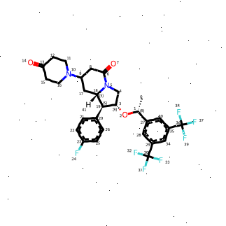 C[C@@H](O[C@H]1CN2C(=O)CC(N3CCC(=O)CC3)C[C@H]2[C@@H]1c1ccc(F)cc1)c1cc(C(F)(F)F)cc(C(F)(F)F)c1